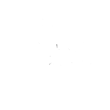 CCC(NC(=O)OC(C)(C)C)OC[C@H]1O[C@H](O)[C@H](OCCc2ccccc2)[C@@H](OCCc2ccccc2)[C@@H]1OC(CC)NC(=O)OC(C)(C)C